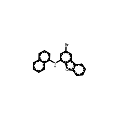 Brc1cc(Nc2cccc3ccccc23)c2oc3ccccc3c2c1